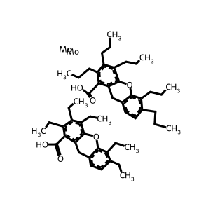 CCCc1ccc2c(c1CCC)Oc1c(CCC)c(CCC)c(CCC)c(C(=O)O)c1C2.CCc1ccc2c(c1CC)Oc1c(CC)c(CC)c(CC)c(C(=O)O)c1C2.[Mo].[Mo]